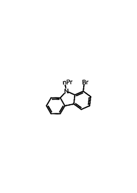 CCCn1c2ccccc2c2cccc(Br)c21